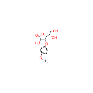 COc1ccc(OC2=C(O)C(=O)O[C@@H]2[C@@H](O)CO)cc1